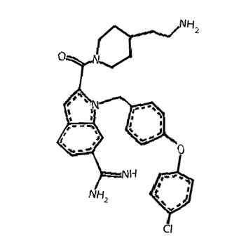 N=C(N)c1ccc2cc(C(=O)N3CCC(CCN)CC3)n(Cc3ccc(Oc4ccc(Cl)cc4)cc3)c2c1